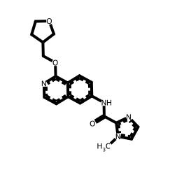 Cn1ccnc1C(=O)Nc1ccc2c(OCC3CCOC3)nccc2c1